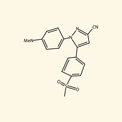 CNc1ccc(-n2nc(C#N)cc2-c2ccc(S(C)(=O)=O)cc2)cc1